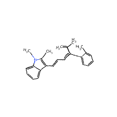 C=C(C)/C(=C\C=C\c1c(C)n(C)c2ccccc12)c1ccccc1C